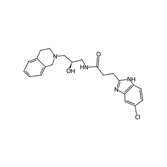 O=C(CCc1nc2cc(Cl)ccc2[nH]1)NC[C@@H](O)CN1CCc2ccccc2C1